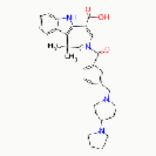 CC1(C)CN(C(=O)c2cccc(CN3CCC(N4CCCC4)CC3)c2)C=C(C(=O)O)c2[nH]c3ccccc3c21